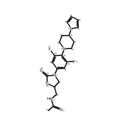 CC(=O)NCC1CN(c2cc(F)c(N3CCC(n4cccc4)CC3)c(F)c2)C(=O)O1